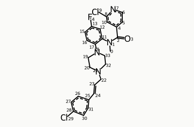 CN(C(=O)c1ccnc(Cl)c1)c1cc(F)ccc1N1CCN(CC=Cc2ccc(Cl)cc2)CC1